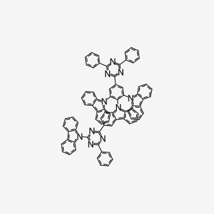 c1ccc(-c2nc(-c3ccccc3)nc(-c3cc(-n4c5ccccc5c5ccccc54)c(-n4c5ccccc5c5cc(-c6nc(-c7ccccc7)nc(-n7c8ccccc8c8ccccc87)n6)ccc54)c(-n4c5ccccc5c5ccccc54)c3)n2)cc1